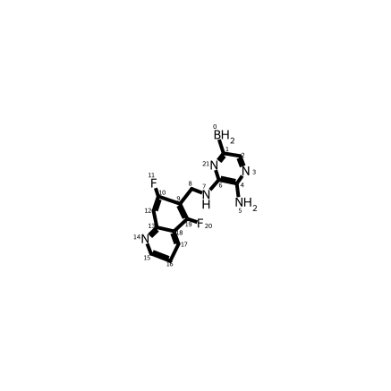 Bc1cnc(N)c(NCc2c(F)cc3ncccc3c2F)n1